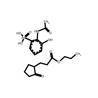 CC(=O)Nc1c(O)cccc1[As](=O)(O)O.CCCOC(=O)CCC1CCCC1=O